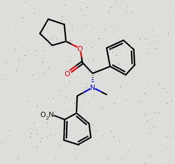 CN(Cc1ccccc1[N+](=O)[O-])[C@H](C(=O)OC1CCCC1)c1ccccc1